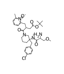 COCC(N)C(=O)N(C)C1(Cc2ccc(Cl)cc2)CCCN(C(=O)C(CC(=O)OC(C)(C)C)Cc2cccc(C)[n+]2[O-])C1